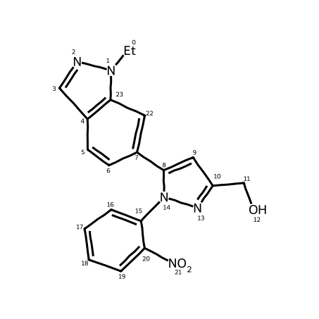 CCn1ncc2ccc(-c3cc(CO)nn3-c3ccccc3[N+](=O)[O-])cc21